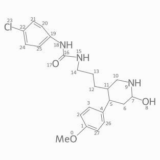 COc1ccc(C2CC(O)NCC2CCCNC(=O)Nc2ccc(Cl)cc2)cc1